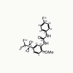 COc1ccc(S(=O)(=O)C(F)F)cc1NC(=O)Nc1ccc(F)cc1